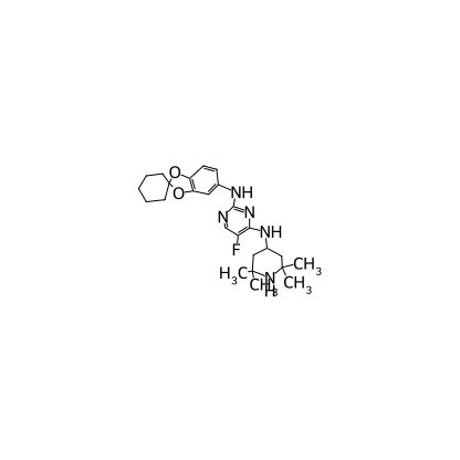 CC1(C)CC(Nc2nc(Nc3ccc4c(c3)OC3(CCCCC3)O4)ncc2F)CC(C)(C)N1